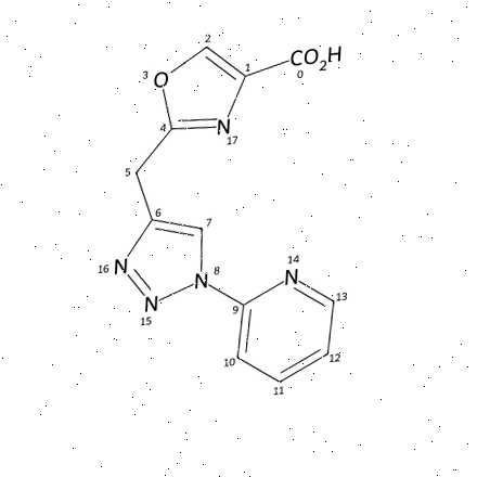 O=C(O)c1coc(Cc2cn(-c3ccccn3)nn2)n1